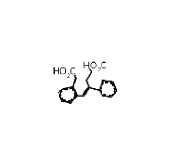 O=C(O)CCC(=Cc1ccccc1CC(=O)O)c1ccccc1